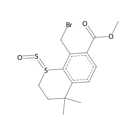 COC(=O)c1ccc2c(c1CBr)S(=S=O)CCC2(C)C